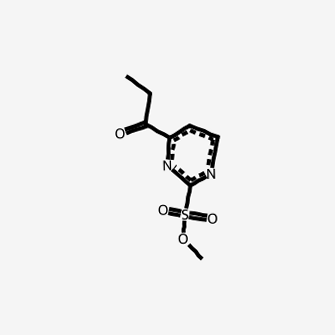 CCC(=O)c1ccnc(S(=O)(=O)OC)n1